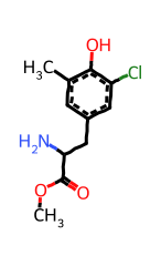 COC(=O)C(N)Cc1cc(C)c(O)c(Cl)c1